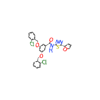 O=C(Nc1nnc(-c2ccco2)s1)c1cc(OCc2ccccc2Cl)cc(OCc2ccccc2Cl)c1